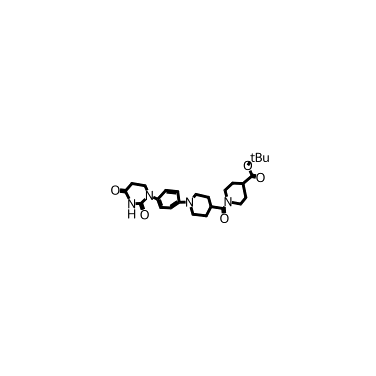 CC(C)(C)OC(=O)C1CCN(C(=O)C2CCN(c3ccc(N4CCC(=O)NC4=O)cc3)CC2)CC1